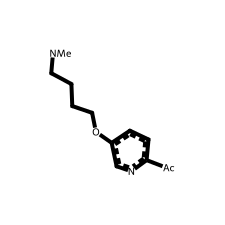 CNCCCCOc1ccc(C(C)=O)nc1